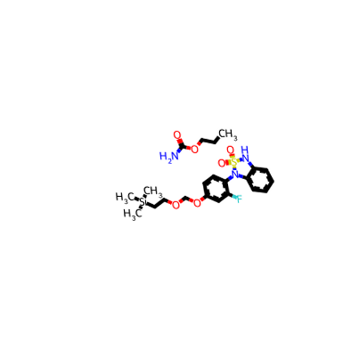 CCCOC(N)=O.C[Si](C)(C)CCOCOc1ccc(N2c3ccccc3NS2(=O)=O)c(F)c1